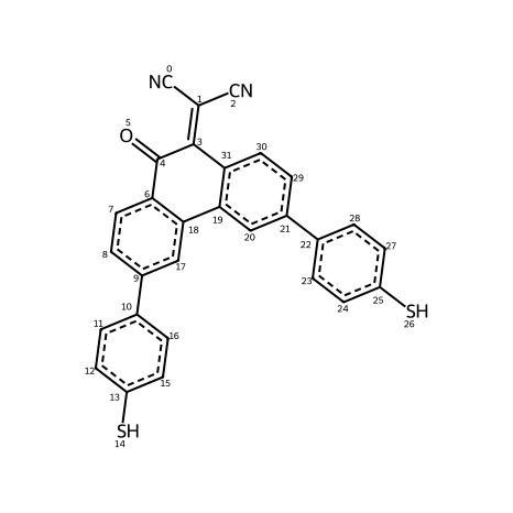 N#CC(C#N)=C1C(=O)c2ccc(-c3ccc(S)cc3)cc2-c2cc(-c3ccc(S)cc3)ccc21